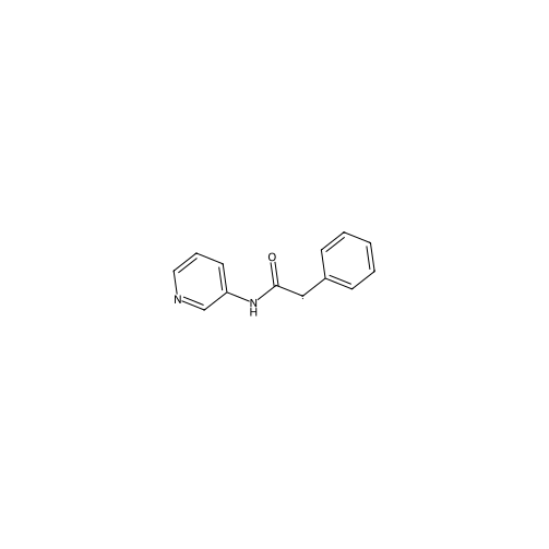 O=C([CH]c1ccccc1)Nc1cccnc1